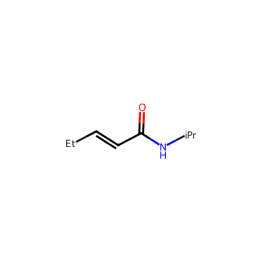 CCC=CC(=O)NC(C)C